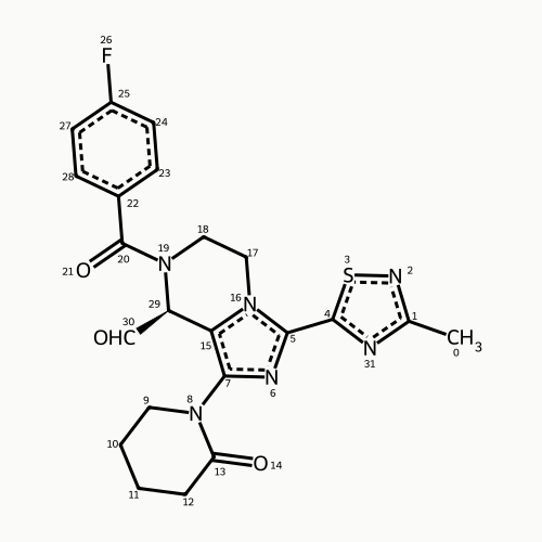 Cc1nsc(-c2nc(N3CCCCC3=O)c3n2CCN(C(=O)c2ccc(F)cc2)[C@@H]3C=O)n1